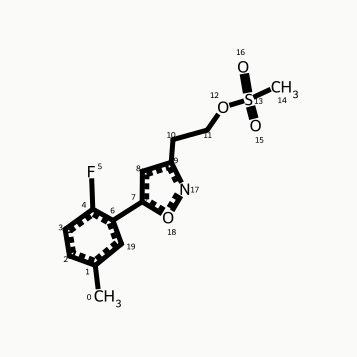 Cc1ccc(F)c(-c2cc(CCOS(C)(=O)=O)no2)c1